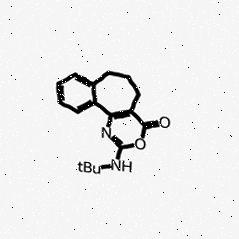 CC(C)(C)Nc1nc2c(c(=O)o1)CCCc1ccccc1-2